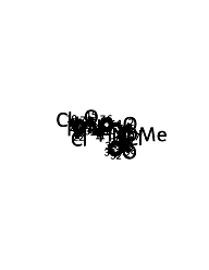 COC(=O)C(Cc1ccc2c(c1)CCN2C(=O)c1cc(Cl)nc(Cl)c1)NC1=C(Cl)C(=O)C12CCCCC2